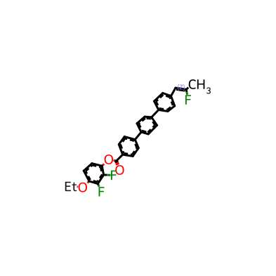 CCOc1ccc(OC(=O)c2ccc(-c3ccc(-c4ccc(/C=C(/C)F)cc4)cc3)cc2)c(F)c1F